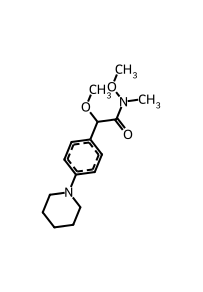 COC(C(=O)N(C)OC)c1ccc(N2CCCCC2)cc1